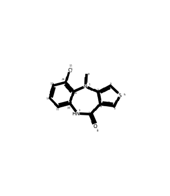 CN1c2cscc2C(=O)Nc2cccc(Cl)c21